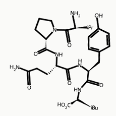 CC[C@H](C)[C@H](NC(=O)[C@H](Cc1ccc(O)cc1)NC(=O)[C@H](CCC(N)=O)NC(=O)[C@@H]1CCCN1C(=O)[C@@H](N)C(C)C)C(=O)O